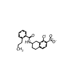 CCCc1ccccc1C(=O)NC1CCc2ccc([N+](=O)[O-])c(Cl)c2C1